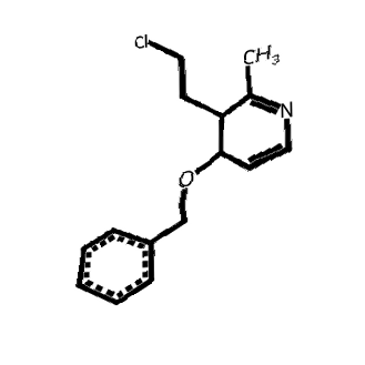 CC1=NC=CC(OCc2ccccc2)C1CCCl